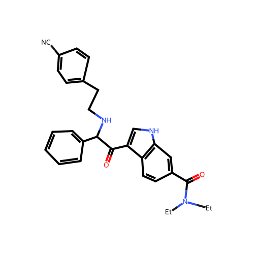 CCN(CC)C(=O)c1ccc2c(C(=O)C(NCCc3ccc(C#N)cc3)c3ccccc3)c[nH]c2c1